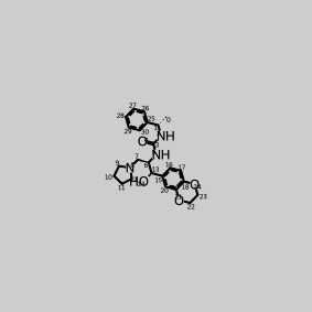 C[C@H](NC(=O)N[C@H](CN1CCCC1)[C@H](O)c1ccc2c(c1)OCCO2)c1ccccc1